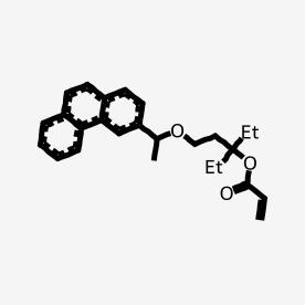 C=CC(=O)OC(CC)(CC)CCOC(C)c1ccc2ccc3ccccc3c2c1